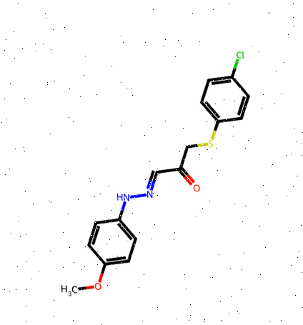 COc1ccc(NN=CC(=O)CSc2ccc(Cl)cc2)cc1